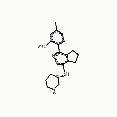 COc1cc(C)ccc1-c1nnc(N[C@@H]2CCCNC2)c2c1CCC2